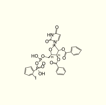 O=C(OC1[C@@H](OC(=O)c2ccccc2)[C@@H](COP(=O)(O)OP(=O)(O)c2ccccc2I)O[C@H]1n1ccc(=O)[nH]c1=O)c1ccccc1